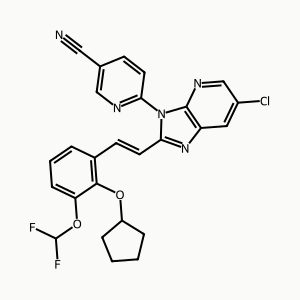 N#Cc1ccc(-n2c(/C=C/c3cccc(OC(F)F)c3OC3CCCC3)nc3cc(Cl)cnc32)nc1